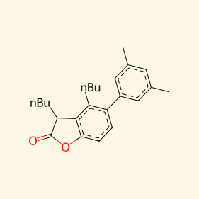 CCCCc1c(-c2cc(C)cc(C)c2)ccc2c1C(CCCC)C(=O)O2